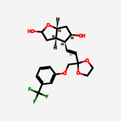 OC1C[C@@H]2[C@@H](/C=C/C3(COc4cccc(C(F)(F)F)c4)OCCO3)[C@H](O)C[C@@H]2O1